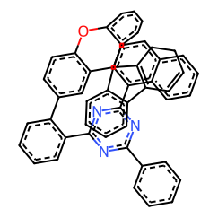 C1=CC2=C(CC1)C1(c3ccccc3Oc3ccc(-c4ccccc4-c4nc(-c5ccccc5)nc(-c5cccc6ccccc56)n4)cc31)c1ccccc12